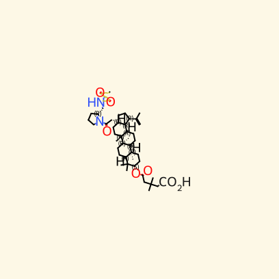 C=C(C)[C@@H]1CC[C@]2(CC(=O)N3CCC[C@@H]3CNS(C)(=O)=O)CC[C@]3(C)[C@H](CC[C@@H]4[C@@]5(C)CC[C@H](OC(=O)CC(C)(C)CC(=O)O)C(C)(C)[C@@H]5CC[C@]43C)[C@@H]12